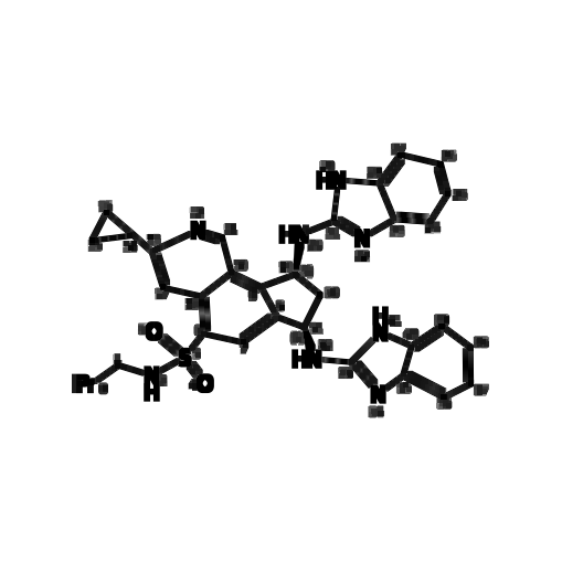 CC(C)CNS(=O)(=O)c1cc2c(c3cnc(C4CC4)cc13)[C@@H](Nc1nc3ccccc3[nH]1)C[C@H]2Nc1nc2ccccc2[nH]1